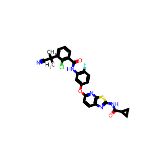 CC(C)(C#N)c1cccc(C(=O)Nc2cc(Oc3ccc4nc(NC(=O)C5CC5)sc4n3)ccc2F)c1Cl